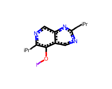 CC(C)c1ncc2c(OI)c(C(C)C)ncc2n1